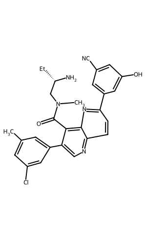 CC[C@H](N)CN(C)C(=O)c1c(-c2cc(C)cc(Cl)c2)cnc2ccc(-c3cc(O)cc(C#N)c3)nc12